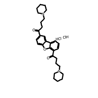 Cl.Cl.O=C(CCCN1CCCCC1)c1ccc2oc3c(C(=O)CCCN4CCCCC4)cccc3c2c1